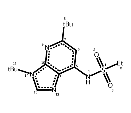 CCS(=O)(=O)Nc1cc(C(C)(C)C)nc2c1ncn2C(C)(C)C